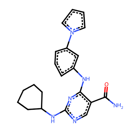 NC(=O)c1cnc(NC2CCCCC2)nc1Nc1cccc(-n2cccc2)c1